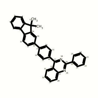 CC1(C)c2ccccc2-c2ccc(-c3ccc(-c4nc(-c5ccccc5)nc5ccccc45)cc3)cc21